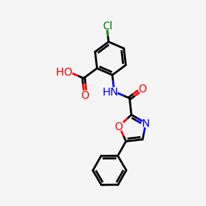 O=C(Nc1ccc(Cl)cc1C(=O)O)c1ncc(-c2ccccc2)o1